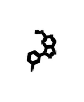 CSc1ncc2nnn(-c3cccc(F)c3)c2n1